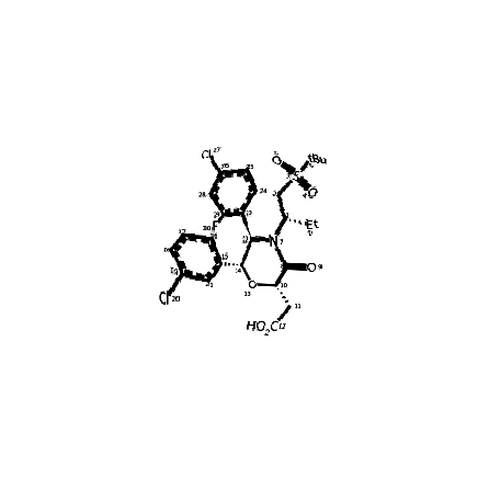 CC[C@@H](CS(=O)(=O)C(C)(C)C)N1C(=O)[C@H](CC(=O)O)O[C@H](c2cccc(Cl)c2)[C@H]1c1ccc(Cl)cc1F